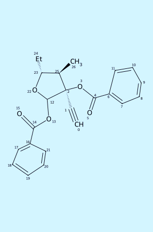 C#C[C@]1(OC(=O)c2ccccc2)C(OC(=O)c2ccccc2)O[C@H](CC)[C@H]1C